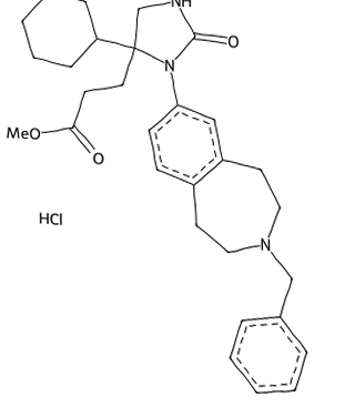 COC(=O)CCC1(C2CCCCC2)CNC(=O)N1c1ccc2c(c1)CCN(Cc1ccccc1)CC2.Cl